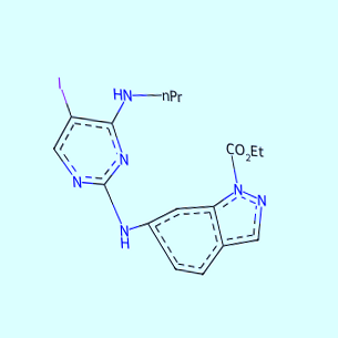 CCCNc1nc(Nc2ccc3cnn(C(=O)OCC)c3c2)ncc1I